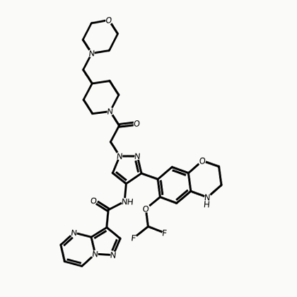 O=C(Nc1cn(CC(=O)N2CCC(CN3CCOCC3)CC2)nc1-c1cc2c(cc1OC(F)F)NCCO2)c1cnn2cccnc12